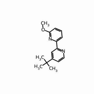 COc1cccc(-c2cc(C(C)(C)C)ccn2)n1